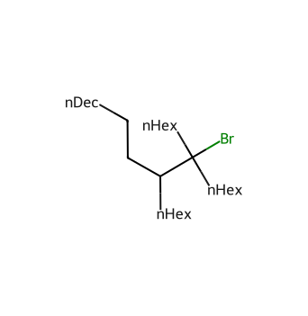 CCCCCCCCCCCCC(CCCCCC)C(Br)(CCCCCC)CCCCCC